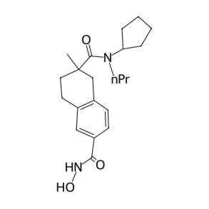 CCCN(C(=O)C1(C)CCc2cc(C(=O)NO)ccc2C1)C1CCCC1